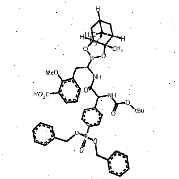 COc1c(C[C@H](NC(=O)C(NC(=O)OC(C)(C)C)c2ccc(P(=O)(OCc3ccccc3)OCc3ccccc3)cc2)B2O[C@@H]3C[C@@H]4C[C@@H](C4(C)C)[C@]3(C)O2)cccc1C(=O)O